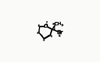 CC1(Br)CCCCO1